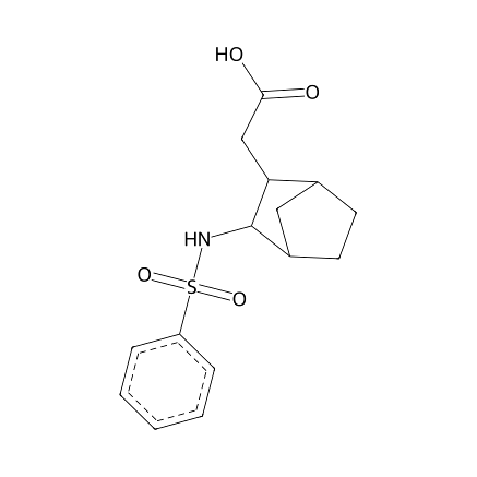 O=C(O)CC1C2CCC(C2)C1NS(=O)(=O)c1ccccc1